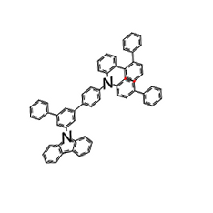 c1ccc(-c2ccc(N(c3ccc(-c4cc(-c5ccccc5)cc(-n5c6ccccc6c6ccccc65)c4)cc3)c3ccccc3-c3ccccc3-c3ccccc3)cc2)cc1